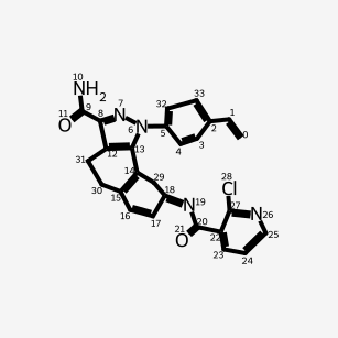 C=Cc1ccc(-n2nc(C(N)=O)c3c2C2=C(C=CC(=NC(=O)c4cccnc4Cl)C2)CC3)cc1